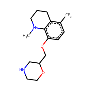 CN1CCCc2c(C(F)(F)F)ccc(OCC3CNCCO3)c21